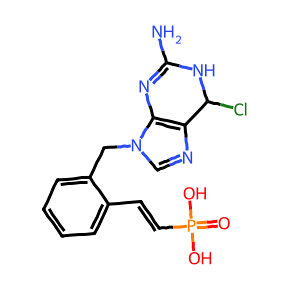 NC1=Nc2c(ncn2Cc2ccccc2C=CP(=O)(O)O)C(Cl)N1